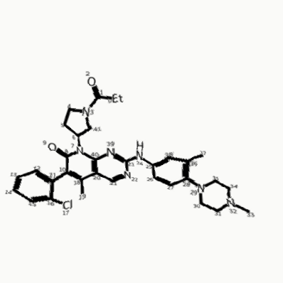 CCC(=O)N1CC[C@H](n2c(=O)c(-c3ccccc3Cl)c(C)c3cnc(Nc4ccc(N5CCN(C)CC5)c(C)c4)nc32)C1